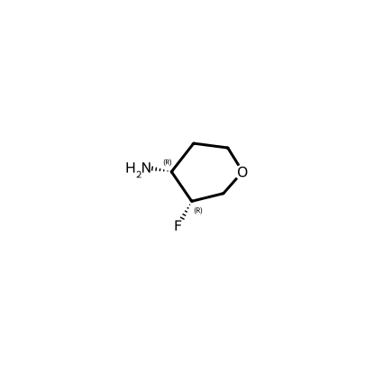 N[C@@H]1CCOC[C@@H]1F